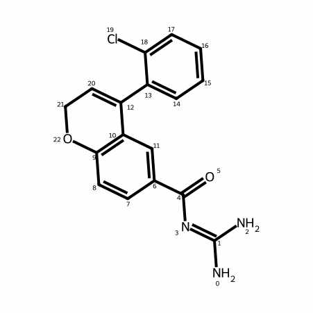 NC(N)=NC(=O)c1ccc2c(c1)C(c1ccccc1Cl)=CCO2